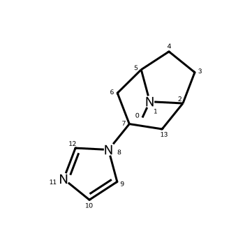 CN1C2CCC1CC(n1ccnc1)C2